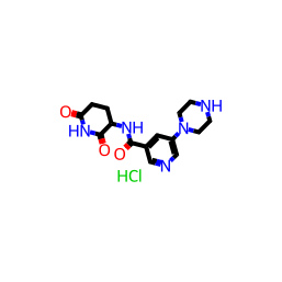 Cl.O=C1CCC(NC(=O)c2cncc(N3CCNCC3)c2)C(=O)N1